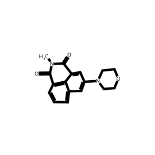 CN1C(=O)c2cccc3cc(N4CCOCC4)cc(c23)C1=O